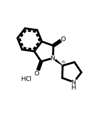 Cl.O=C1c2ccccc2C(=O)N1[C@H]1CCNC1